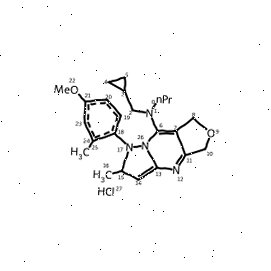 CCCN(CC1CC1)C1=C2COCC2=NC2=CC(C)N(c3ccc(OC)cc3C)N21.Cl